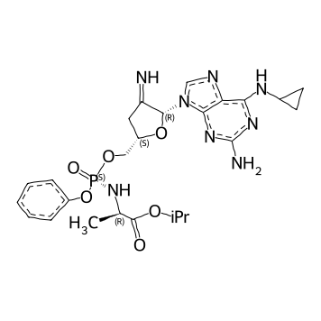 CC(C)OC(=O)[C@@H](C)N[P@](=O)(OC[C@@H]1CC(=N)[C@H](n2cnc3c(NC4CC4)nc(N)nc32)O1)Oc1ccccc1